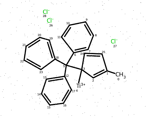 CC1=C[C]([Ti+3])(C(c2ccccc2)(c2ccccc2)c2ccccc2)C=C1.[Cl-].[Cl-].[Cl-]